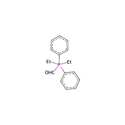 CCP(C=O)(CC)(c1ccccc1)c1ccccc1